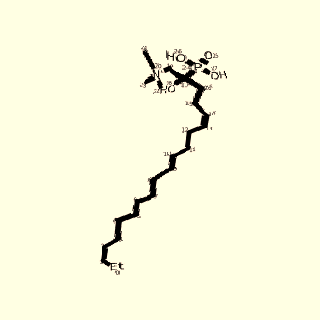 CC/C=C\CCCCCCCCCC/C=C\CCC(O)(C[N+](C)(C)C)P(=O)(O)O